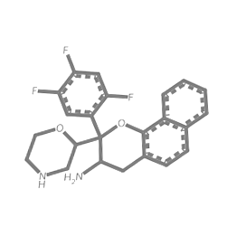 NC1Cc2ccc3ccccc3c2OC1(c1cc(F)c(F)cc1F)C1CNCCO1